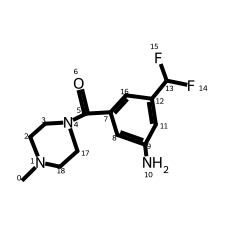 CN1CCN(C(=O)c2cc(N)cc(C(F)F)c2)CC1